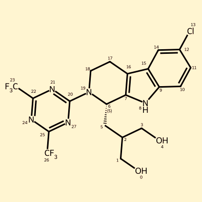 OCC(CO)C[C@H]1c2[nH]c3ccc(Cl)cc3c2CCN1c1nc(C(F)(F)F)nc(C(F)(F)F)n1